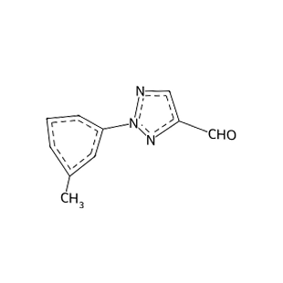 Cc1cccc(-n2ncc(C=O)n2)c1